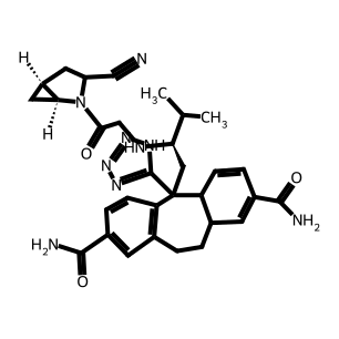 CC(C)[C@@H](CC1(c2nnn[nH]2)c2ccc(C(N)=O)cc2CCC2C=C(C(N)=O)C=CC21)NCC(=O)N1C(C#N)C[C@@H]2C[C@@H]21